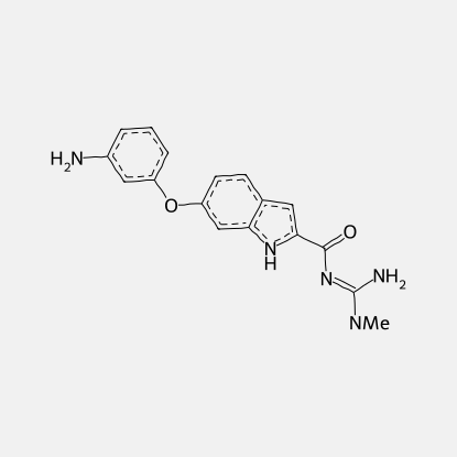 CNC(N)=NC(=O)c1cc2ccc(Oc3cccc(N)c3)cc2[nH]1